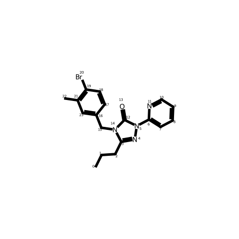 CCCc1nn(-c2ccccn2)c(=O)n1Cc1ccc(Br)c(C)c1